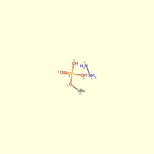 CCCCOP(=O)(O)O.NN